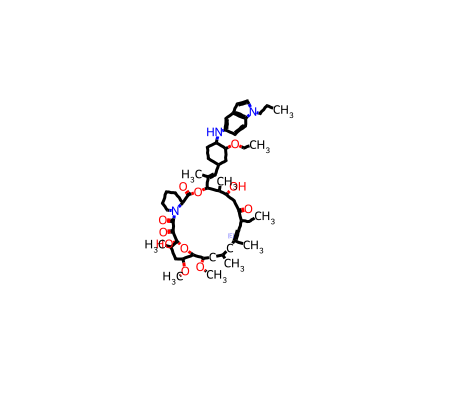 CCCn1ccc2cc(NC3CCC(C=C(C)C4OC(=O)C5CCCCN5C(=O)C(=O)C5(O)OC(C(OC)CC(C)C/C(C)=C/C(CC)C(=O)CC(O)C4C)C(OC)CC5C)CC3OCC)ccc21